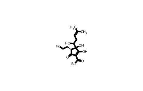 CCC(C)C(=O)C1=C(O)C(O)(C(O)CC=C(C)C)[C@H](CCC(C)C)C1=O